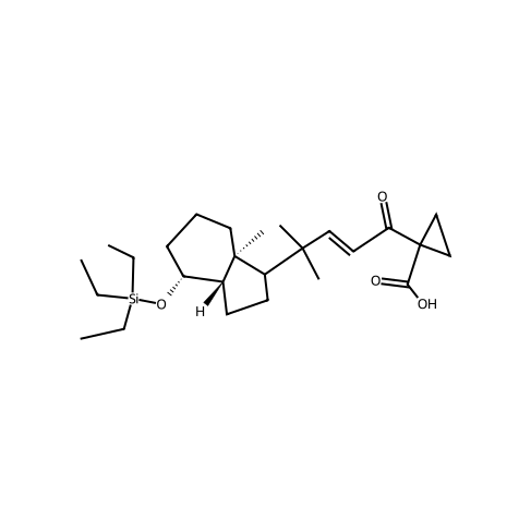 CC[Si](CC)(CC)O[C@@H]1CCC[C@@]2(C)C(C(C)(C)/C=C/C(=O)C3(C(=O)O)CC3)CC[C@H]12